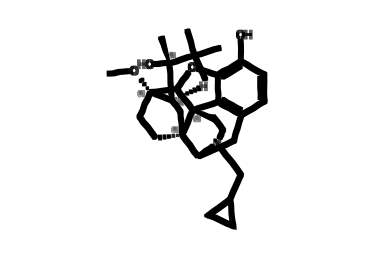 CO[C@@]12CC[C@@]3(C[C@@H]1[C@](C)(O)C(C)(C)C)C1Cc4ccc(O)c5c4[C@@]3(CCN1CC1CC1)C2O5